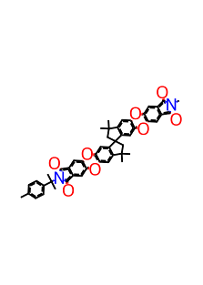 Cc1ccc(C(C)(C)n2c(=O)c3cc4oc5cc6c(cc5oc4cc3c2=O)C2(CC(C)(C)c3cc4oc5cc7c(=O)n(C)c(=O)c7cc5oc4cc32)CC6(C)C)cc1